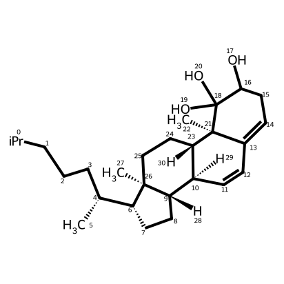 CC(C)CCC[C@@H](C)[C@H]1CC[C@H]2[C@@H]3C=CC4=CCC(O)C(O)(O)[C@]4(C)[C@H]3CC[C@]12C